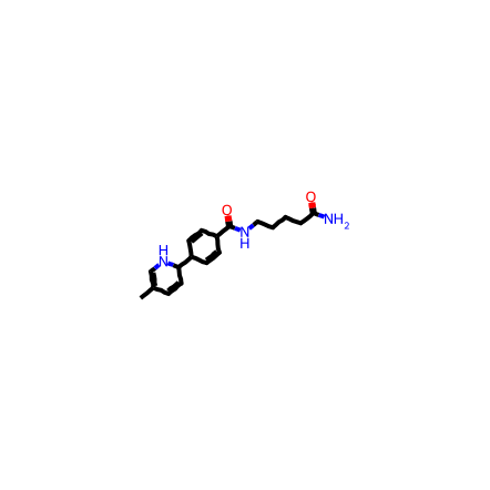 CC1=CNC(C2C=CC(C(=O)NCCCCC(N)=O)C=C2)C=C1